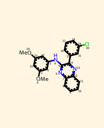 COc1cc(Nc2nc3ccccc3nc2-c2cccc(Cl)c2)cc(OC)c1